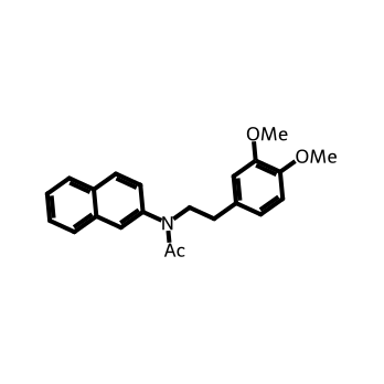 COc1ccc(CCN(C(C)=O)c2ccc3ccccc3c2)cc1OC